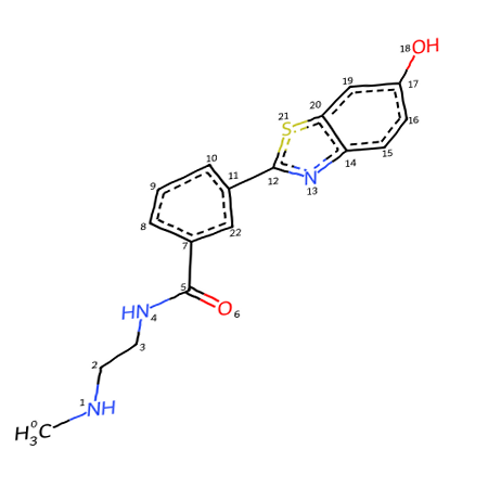 CNCCNC(=O)c1cccc(-c2nc3ccc(O)cc3s2)c1